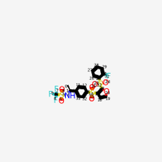 C[C@H](NS(=O)(=O)C(F)(F)F)c1ccc(S(=O)(=O)c2ccoc2S(=O)(=O)c2ccccc2F)cc1